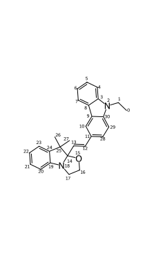 CCn1c2ccccc2c2cc(C=CC34OCCN3c3ccccc3C4(C)C)ccc21